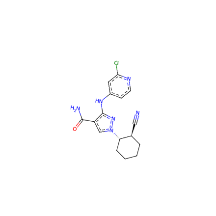 N#C[C@H]1CCCC[C@@H]1n1cc(C(N)=O)c(Nc2ccnc(Cl)c2)n1